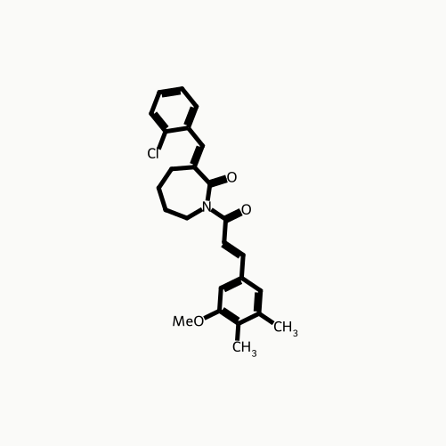 COc1cc(/C=C/C(=O)N2CCCC/C(=C\c3ccccc3Cl)C2=O)cc(C)c1C